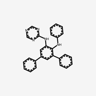 c1ccc(Nc2c(Nc3ncncn3)cc(-c3ccccc3)cc2-c2ccccc2)cc1